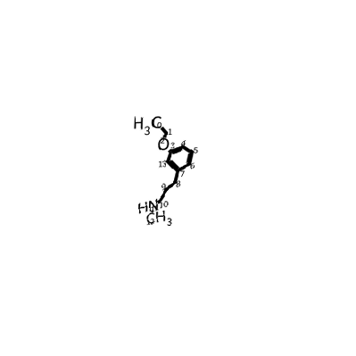 CCOc1cccc(CCCNC)c1